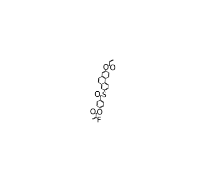 C=CC(=O)Oc1ccc2c(ccc3cc(SC(=O)c4ccc(OC(=O)C(=C)F)cc4)ccc32)c1